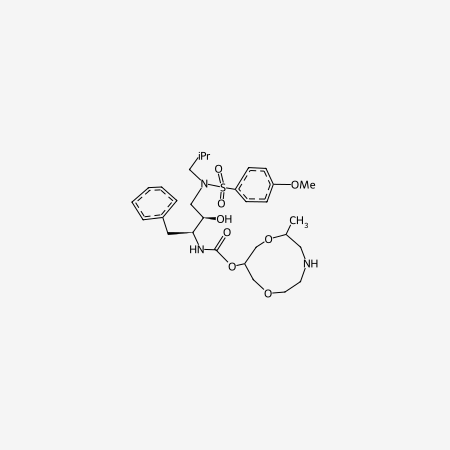 COc1ccc(S(=O)(=O)N(CC(C)C)C[C@@H](O)[C@H](Cc2ccccc2)NC(=O)OC2COCCNCC(C)OC2)cc1